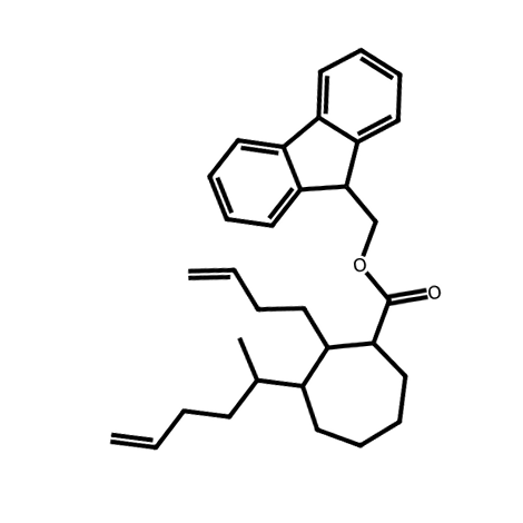 C=CCCC(C)C1CCCCC(C(=O)OCC2c3ccccc3-c3ccccc32)C1CCC=C